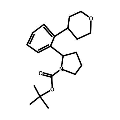 CC(C)(C)OC(=O)N1CCCC1c1ccccc1C1CCOCC1